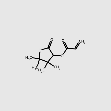 C=CC(=O)OC1C(=O)OC(C)(C)C1(C)C